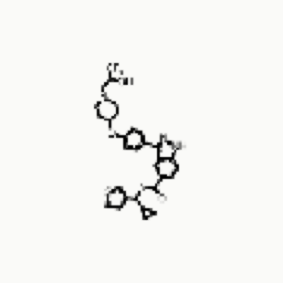 O=C(NC(c1ccsc1)C1CC1)c1ccc2[nH]nc(-c3ccc(OC4CCN(CC(O)C(F)(F)F)CC4)cc3)c2c1